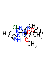 CCOCCn1nc(CN(C)C(=O)OC(C)(C)C)c2nc(Cl)nc(Nc3cc(C)ccn3)c21